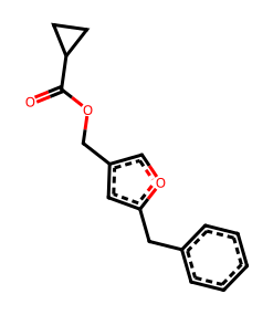 O=C(OCc1coc(Cc2ccccc2)c1)C1CC1